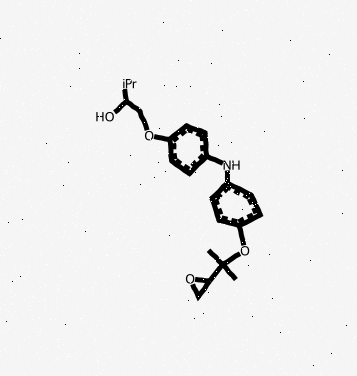 CC(C)C(O)COc1ccc(Nc2ccc(OC(C)(C)C3CO3)cc2)cc1